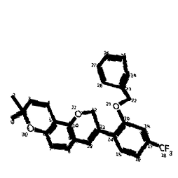 CC1(C)C=Cc2c(ccc3c2OCC(c2ccc(C(F)(F)F)cc2OCc2ccccc2)=C3)O1